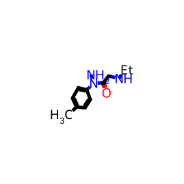 CCNCC(=O)N(N)c1ccc(C)cc1